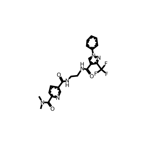 CN(C)C(=O)c1ccc(C(=O)NCCNC(=O)c2cn(-c3ccccc3)nc2C(F)(F)F)cn1